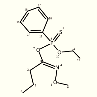 CCCC(=NOC)OP(=S)(OCC)c1ccccc1